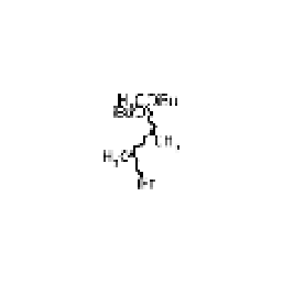 CC(=CCCC(C)(OCC(C)C)OCC(C)C)CCC=C(C)CCCC(C)C